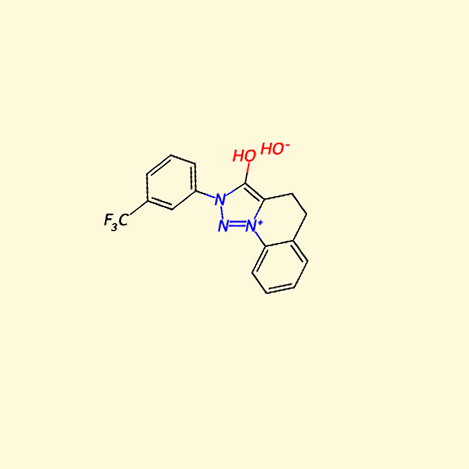 Oc1c2[n+](nn1-c1cccc(C(F)(F)F)c1)-c1ccccc1CC2.[OH-]